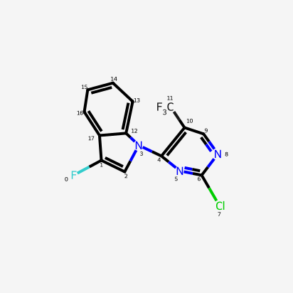 Fc1cn(-c2nc(Cl)ncc2C(F)(F)F)c2ccccc12